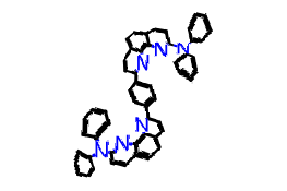 c1ccc(N(c2ccccc2)c2ccc3ccc4ccc(-c5ccc(-c6ccc7ccc8ccc(N(c9ccccc9)c9ccccc9)nc8c7n6)cc5)nc4c3n2)cc1